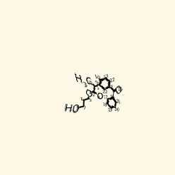 CC(C(=O)OCCCO)c1cccc(C(=O)c2ccccc2)c1